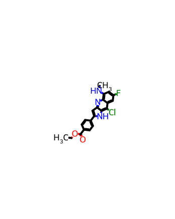 CCOC(=O)c1ccc(-c2cc3nc4c(NC)cc(F)cc4c(Cl)c3[nH]2)cc1